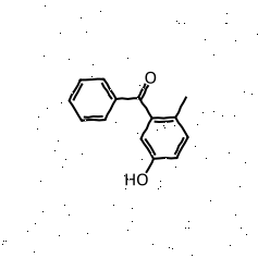 Cc1ccc(O)cc1C(=O)c1ccccc1